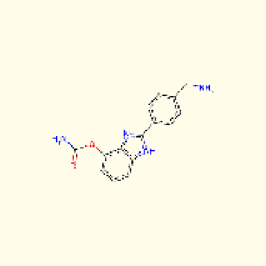 NCc1ccc(-c2nc3c(OC(N)=O)cccc3[nH]2)cc1